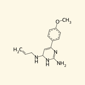 C=CCNC1C=C(c2ccc(OC)cc2)N=C(N)N1